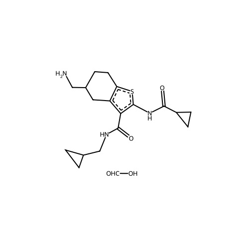 NCC1CCc2sc(NC(=O)C3CC3)c(C(=O)NCC3CC3)c2C1.O=CO